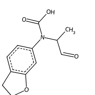 CC(C=O)N(C(=O)O)c1ccc2c(c1)OCC2